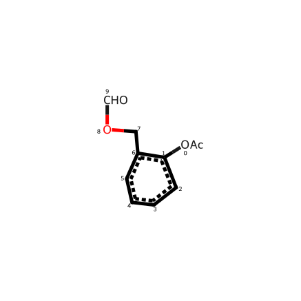 CC(=O)Oc1ccccc1COC=O